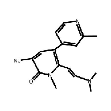 Cc1cc(-c2cc(C#N)c(=O)n(C)c2C=CN(C)C)ccn1